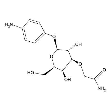 NC(=O)CO[C@H]1[C@@H](O)[C@@H](CO)O[C@@H](Oc2ccc(N)cc2)[C@@H]1O